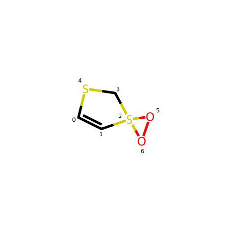 C1=CS2(CS1)OO2